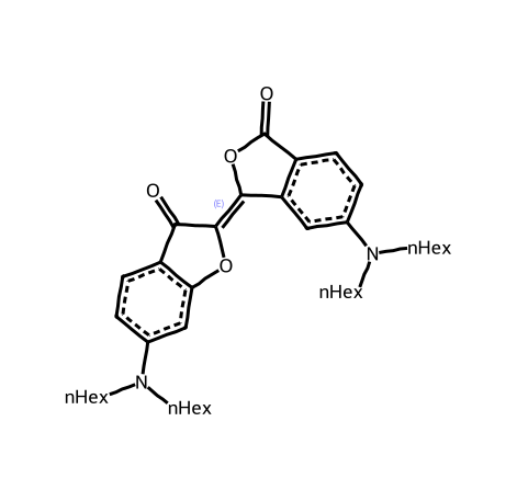 CCCCCCN(CCCCCC)c1ccc2c(c1)O/C(=C1/OC(=O)c3ccc(N(CCCCCC)CCCCCC)cc31)C2=O